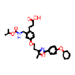 Cc1oc(-c2ccc(OC3CCCCC3)cc2)nc1CCOc1ccc(CCC(=O)O)c(CNC(=O)OC(C)C)c1